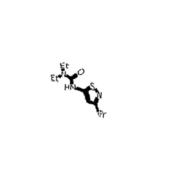 CCN(CC)C(=O)Nc1cc(C(C)C)ns1